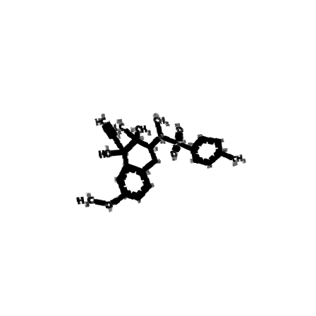 C#CC1(O)c2cc(OC)ccc2CC(N(C)S(=O)(=O)c2ccc(C)cc2)C1(C)C